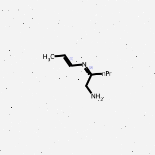 C/C=C/N=C(\CN)CCC